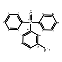 O=P(c1ccccc1)(c1ccccc1)c1cccc(C(F)(F)F)c1